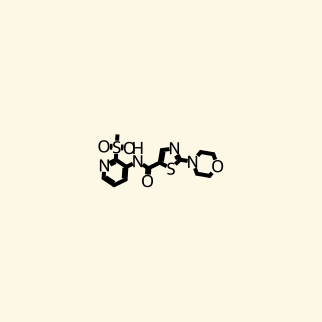 CS(=O)(=O)c1ncccc1NC(=O)c1cnc(N2CCOCC2)s1